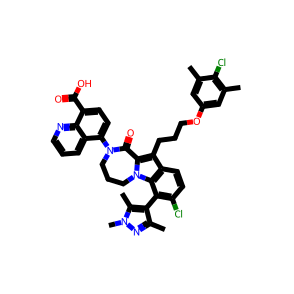 Cc1cc(OCCCc2c3n(c4c(-c5c(C)nn(C)c5C)c(Cl)ccc24)CCCN(c2ccc(C(=O)O)c4ncccc24)C3=O)cc(C)c1Cl